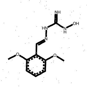 COc1cccc(OC)c1C=NNC(=N)NO